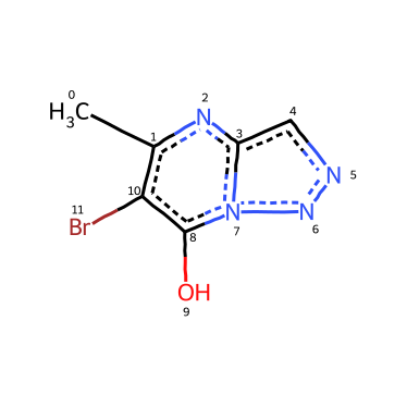 Cc1nc2cnnn2c(O)c1Br